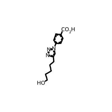 O=C(O)c1ccc(-n2cc(CCCCCO)nn2)cc1